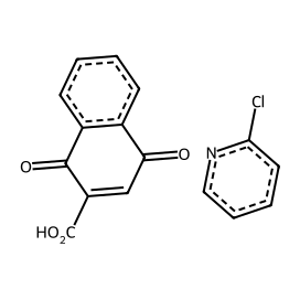 Clc1ccccn1.O=C(O)C1=CC(=O)c2ccccc2C1=O